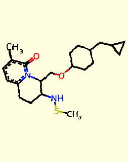 CSNC1CCc2ccc(C)c(=O)n2C1COC1CCC(CC2CC2)CC1